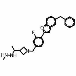 CNNC(C)C1CN(Cc2ccc(-c3cc4cc(Cc5ccccc5)ccc4o3)c(F)c2)C1